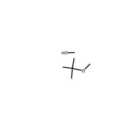 CO.COC(C)(C)C